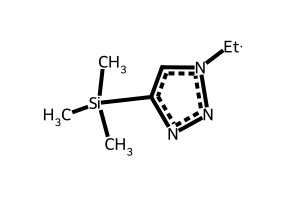 C[CH]n1cc([Si](C)(C)C)nn1